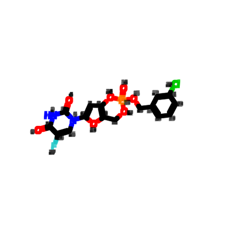 O=c1[nH]c(=O)n(-c2cc3c(o2)COP(=O)(OCc2cccc(Cl)c2)O3)cc1F